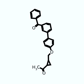 CC(=O)C1CC1COc1ccc(-c2cccc(C(=O)c3ccccc3)c2)cc1